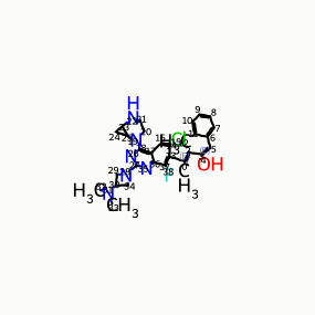 C/C(=C\C(O)=C/c1ccccc1C)c1c(Cl)cc2c(N3CCNC4CC43)nc(N3CC(N(C)C)C3)nc2c1F